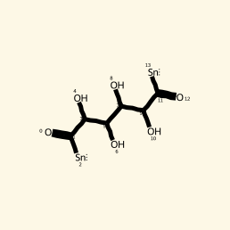 O=[C]([Sn])C(O)C(O)C(O)C(O)[C](=O)[Sn]